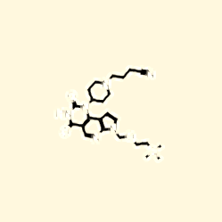 C[Si](C)(C)CCOCn1ccc2c1ncc1c(=O)[nH]c(=O)n(C3CCN(CCCC#N)CC3)c12